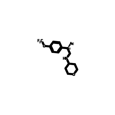 CC(=O)[C@H](CNC1CCOCC1)c1ccc(OC(F)(F)F)cc1